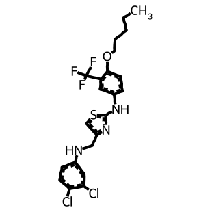 CCCCCOc1ccc(Nc2nc(CNc3ccc(Cl)c(Cl)c3)cs2)cc1C(F)(F)F